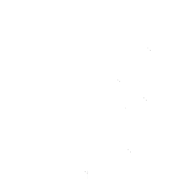 Cc1cnc(CN(C)C[C@H]2Cc3c(cccc3N3CCC(NS(=O)(=O)c4ccc(F)cc4)CC3)CN2)c(C)c1